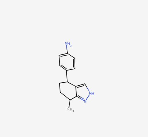 CC1CCC(c2ccc(N)cc2)c2c[nH]nc21